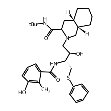 Cc1c(O)cccc1C(=O)N[C@@H](CSc1ccccc1)[C@H](O)CN1C[C@H]2CCCC[C@H]2CC1C(=O)NC(C)(C)C